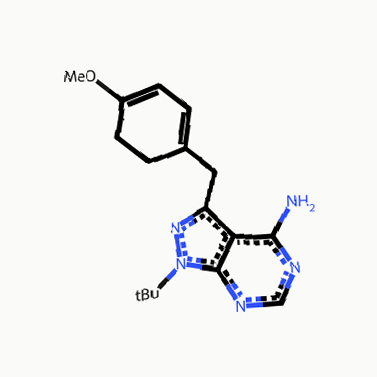 COC1=CC=C(Cc2nn(C(C)(C)C)c3ncnc(N)c23)CC1